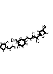 C[C@@H]1CCCN1CCOc1ccc(CCNC(=O)c2cc(Br)cs2)cc1Br